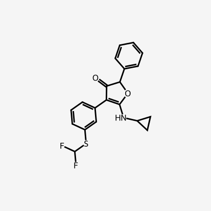 O=C1C(c2cccc(SC(F)F)c2)=C(NC2CC2)OC1c1ccccc1